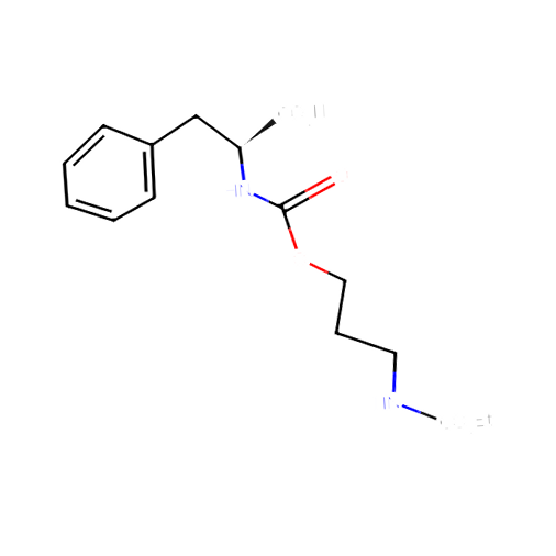 CCOC(=O)NCCCOC(=O)N[C@@H](Cc1ccccc1)C(=O)O